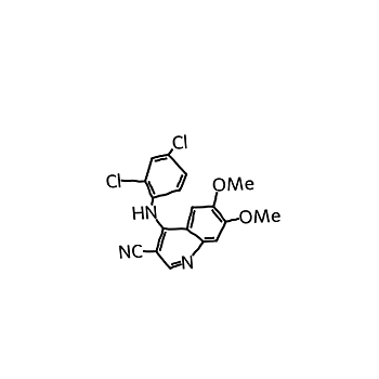 COc1cc2ncc(C#N)c(Nc3ccc(Cl)cc3Cl)c2cc1OC